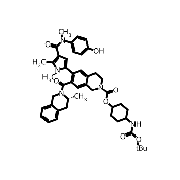 Cc1c(C(=O)N(C)c2ccc(O)cc2)cc(-c2cc3c(cc2C(=O)N2Cc4ccccc4C[C@H]2C)CN(C(=O)OC2CCC(NC(=O)OC(C)(C)C)CC2)CC3)n1C